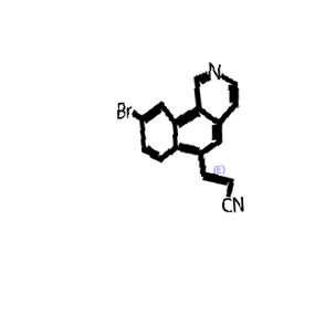 N#C/C=C/c1cc2ccncc2c2cc(Br)ccc12